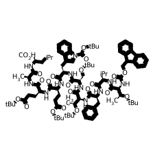 CC(C)C[C@H](NC(=O)[C@H](C)NC(=O)[C@H](CCC(=O)OC(C)(C)C)NC(=O)[C@H](CCC(=O)OC(C)(C)C)NC(=O)[C@H](Cc1cn(C(=O)OC(C)(C)C)c2ccccc12)NC(=O)[C@H](COC(C)(C)C)NC(=O)[C@@H](NC(=O)[C@H](Cc1ccccc1)NC(=O)[C@@H](NC(=O)[C@@H](NC(=O)OCC1c2ccccc2-c2ccccc21)[C@@H](C)OC(C)(C)C)C(C)C)[C@@H](C)OC(C)(C)C)C(=O)O